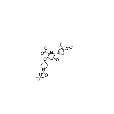 [C-]#[N+]c1ccc(-n2nc(C(=O)OC)c(OC3CCN(C(=O)OC(C)(C)C)CC3)cc2=O)cc1F